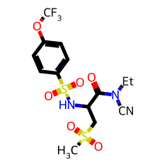 CCN(C#N)C(=O)C(CS(C)(=O)=O)NS(=O)(=O)c1ccc(OC(F)(F)F)cc1